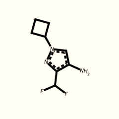 Nc1cn(C2C[CH]C2)nc1C(F)F